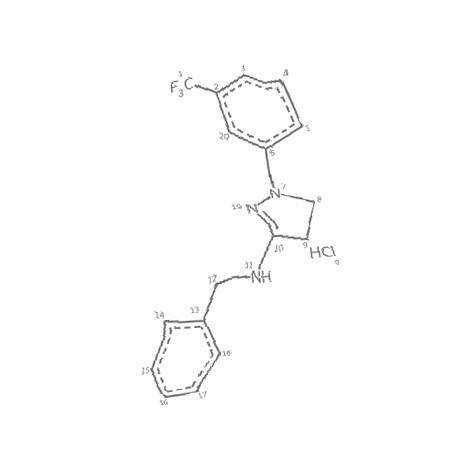 Cl.FC(F)(F)c1cccc(N2CCC(NCc3ccccc3)=N2)c1